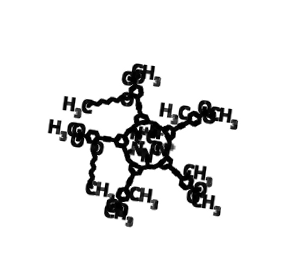 [C-]#[N+]/C1=C\c2cc(C#Cc3ccc(C(=O)OC)cc3OCCCCCCCC)cc(c2)/C(C#N)=C/c2cc(C#Cc3ccc(C(=O)OC)cc3C)cc(c2)/C(C#N)=C/c2cc(C#Cc3ccc(C(=O)OC)cc3C)cc(c2)/C([N+]#[C-])=C/c2cc(C#Cc3ccc(C(=O)OC)cc3C)cc(c2)/C([N+]#[C-])=C/c2cc(C#Cc3ccc(C(=O)OC)cc3OCCCCCCCC)cc1c2